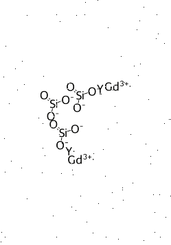 O=[Si]([O-])[O-].O=[Si]([O-])[O-].O=[Si]([O-])[O-].[Gd+3].[Gd+3].[Y].[Y]